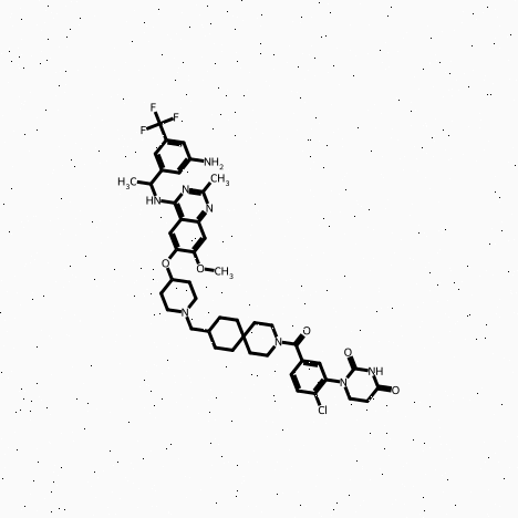 COc1cc2nc(C)nc(NC(C)c3cc(N)cc(C(F)(F)F)c3)c2cc1OC1CCN(CC2CCC3(CC2)CCN(C(=O)c2ccc(Cl)c(N4CCC(=O)NC4=O)c2)CC3)CC1